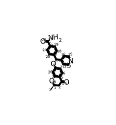 C[C@@H]1CC(=O)c2ccc(O[C@H](c3ccncc3)c3ccc(C(N)=O)cc3)cc2O1